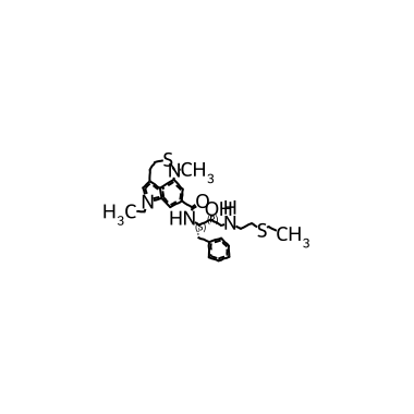 CCSCCNC[C@@H](O)[C@H](Cc1ccccc1)NC(=O)c1cc2c3c(cn(CC)c3c1)CCSN2C